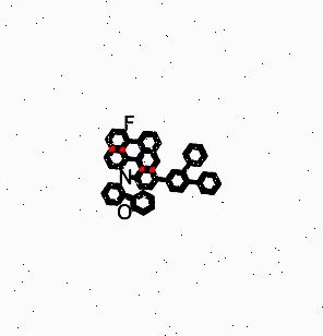 Fc1ccccc1-c1cccc2cccc(-c3ccccc3N(c3ccc(-c4ccc(-c5ccccc5)c(-c5ccccc5)c4)cc3)c3cccc4oc5ccccc5c34)c12